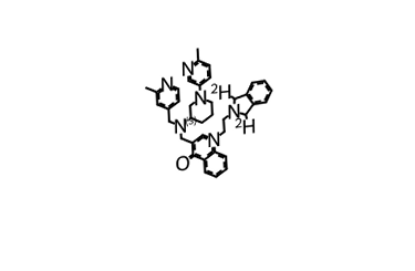 [2H]C1c2ccccc2C([2H])N1CCn1cc(CN(Cc2ccnc(C)c2)[C@H]2CCCN(c3ccc(C)nc3)C2)c(=O)c2ccccc21